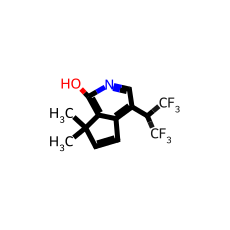 CC1(C)C=Cc2c(C(C(F)(F)F)C(F)(F)F)cnc(O)c21